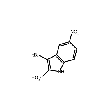 CC(C)(C)c1c(C(=O)O)[nH]c2ccc([N+](=O)[O-])cc12